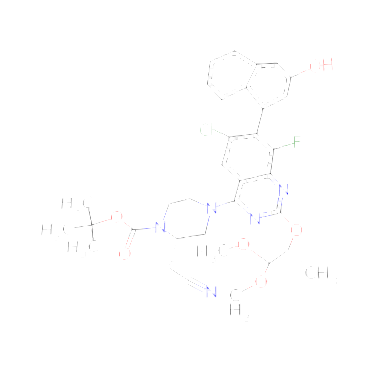 COC(OC)[C@@H](C)Oc1nc(N2CCN(C(=O)OC(C)(C)C)[C@@H](CC#N)C2)c2cc(Cl)c(-c3cc(O)cc4ccccc34)c(F)c2n1